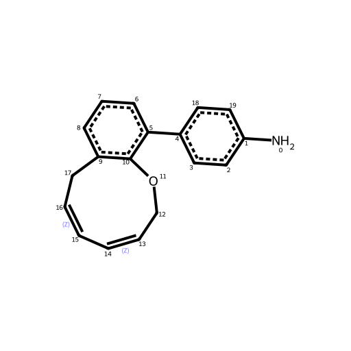 Nc1ccc(-c2cccc3c2OC/C=C\C=C/C3)cc1